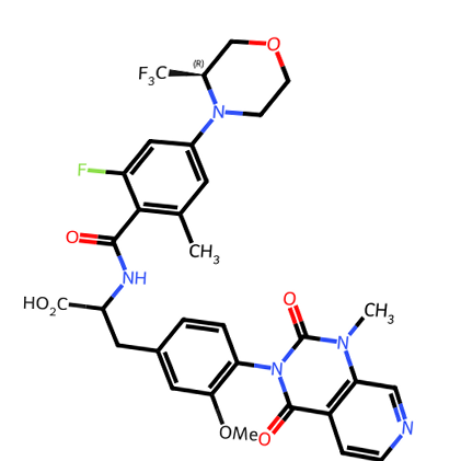 COc1cc(CC(NC(=O)c2c(C)cc(N3CCOC[C@@H]3C(F)(F)F)cc2F)C(=O)O)ccc1-n1c(=O)c2ccncc2n(C)c1=O